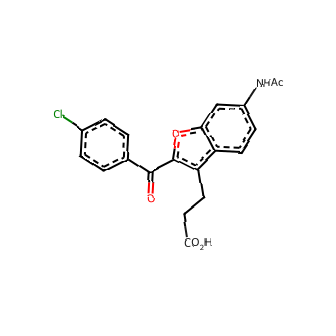 CC(=O)Nc1ccc2c(CCC(=O)O)c(C(=O)c3ccc(Cl)cc3)oc2c1